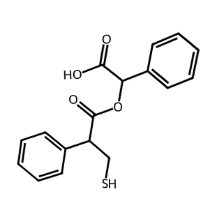 O=C(OC(C(=O)O)c1ccccc1)C(CS)c1ccccc1